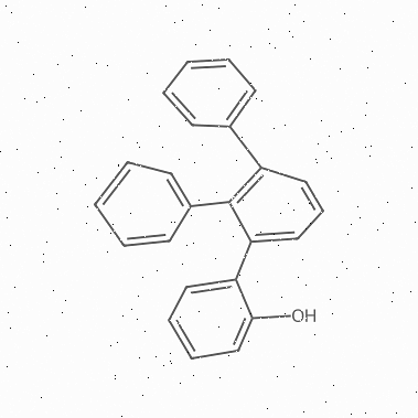 Oc1ccccc1-c1cccc(-c2ccccc2)c1-c1ccccc1